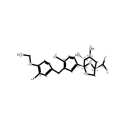 CCOc1ccc(Cc2cc([C@@]34OC[C@@](C(F)F)(C[C@H](O)[C@H]3O)O4)ccc2Cl)cc1F